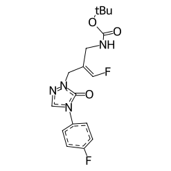 CC(C)(C)OC(=O)NCC(=CF)Cn1ncn(-c2ccc(F)cc2)c1=O